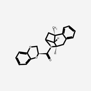 C[C@@]12CC3[C@H]1[C@@H](Cc1ccccc12)N3C(=O)[C@@H]1COc2ccccc2O1